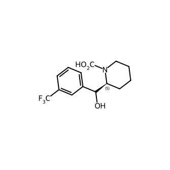 O=C(O)N1CCCC[C@H]1C(O)c1cccc(C(F)(F)F)c1